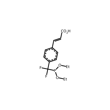 CCOP(OCC)C(F)(F)c1ccc(/C=C/C(=O)O)cc1